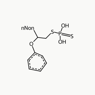 CCCCCCCCCC(CSP(O)(O)=S)Oc1ccccc1